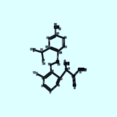 COC(=O)N(O)c1cccc(I)c1COc1ccc(C)cc1C(F)F